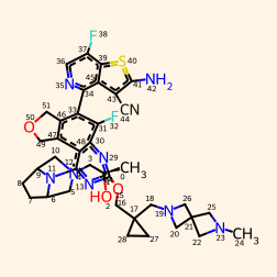 C[C@@H](O)CN1CC2CCC(C1)N2c1nc(OCC2(CN3CC4(CN(C)C4)C3)CC2)nc2c(F)c(-c3ncc(F)c4sc(N)c(C#N)c34)c3c(c12)COC3